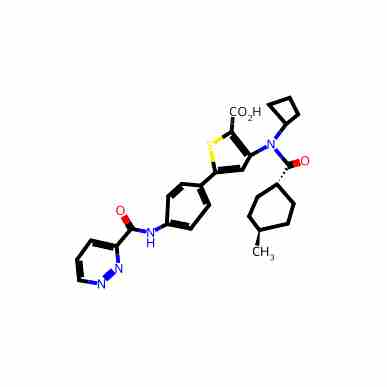 C[C@H]1CC[C@H](C(=O)N(c2cc(-c3ccc(NC(=O)c4cccnn4)cc3)sc2C(=O)O)C2CCC2)CC1